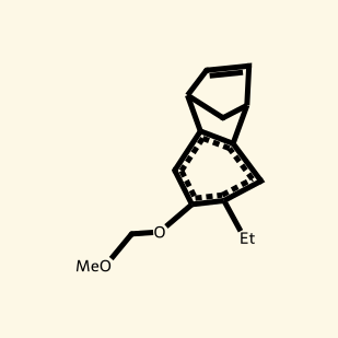 CCc1cc2c(cc1OCOC)C1C=CC2C1